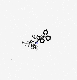 C=CCOC(=O)N1C[C@@H](SC(c2ccccc2)(c2ccccc2)c2ccccc2)C[C@H]1/C=C/C(=O)N(C)C